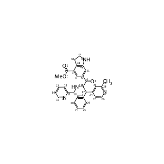 COC(=O)c1cc(C(=O)C(NCc2ccccn2)C(c2ccccc2)c2ccnc(C)c2)cc2c1CCN2